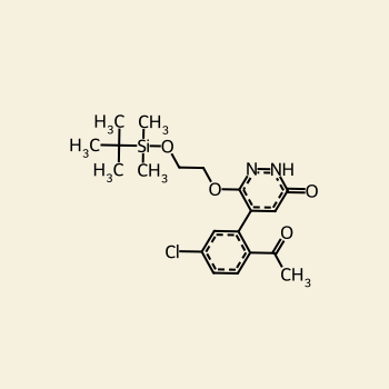 CC(=O)c1ccc(Cl)cc1-c1cc(=O)[nH]nc1OCCO[Si](C)(C)C(C)(C)C